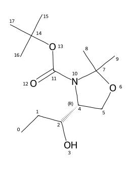 CCC(O)[C@H]1COC(C)(C)N1C(=O)OC(C)(C)C